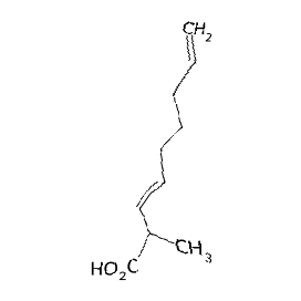 C=CCCCC=CC(C)C(=O)O